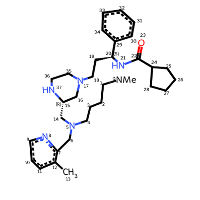 CNCCCCN(Cc1ncccc1C)C[C@H]1CN(CC[C@H](NC(=O)C2CCCC2)c2ccccc2)CCN1